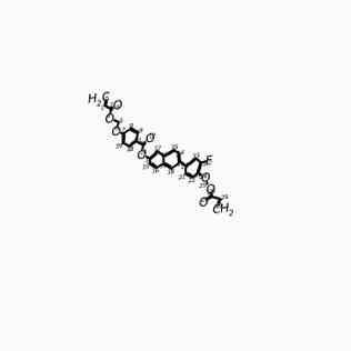 C=CC(=O)OCOc1ccc(C(=O)Oc2ccc3cc(-c4ccc(OCOC(=O)C=C)c(F)c4)ccc3c2)cc1